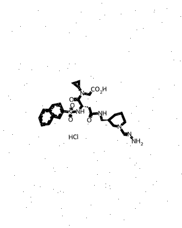 Cl.NN=CN1CCC[C@H](CNC(=O)C[C@H](NS(=O)(=O)c2ccc3ccccc3c2)C(=O)N(CC(=O)O)C2CC2)C1